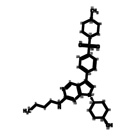 CCCCNc1ncc2c(-c3ccc(S(=O)(=O)N4CCN(C)CC4)cc3)cn([C@H]3CC[C@H](O)CC3)c2n1